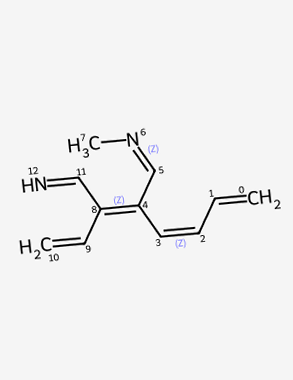 C=C\C=C/C(/C=N\C)=C(\C=C)C=N